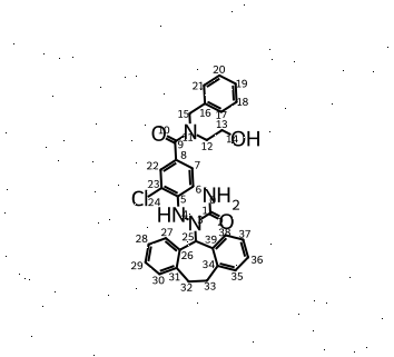 NC(=O)N(Nc1ccc(C(=O)N(CCO)Cc2ccccc2)cc1Cl)C1c2ccccc2CCc2ccccc21